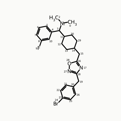 CN(C)C(c1cccc(F)c1)C1CCC(Cc2nc(Cc3ccc(Br)cc3)no2)CC1